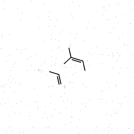 C=COC.CCCC/C(=C/C(=O)O)C(=O)O